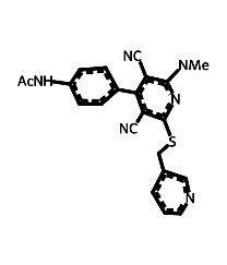 CNc1nc(SCc2cccnc2)c(C#N)c(-c2ccc(NC(C)=O)cc2)c1C#N